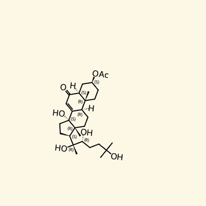 CC(=O)O[C@H]1CC[C@@]2(C)[C@H](C1)C(=O)C=C1[C@@H]2CC[C@]2(C)[C@@H]([C@@](C)(O)[C@H](O)CCC(C)(C)O)CC[C@@]12O